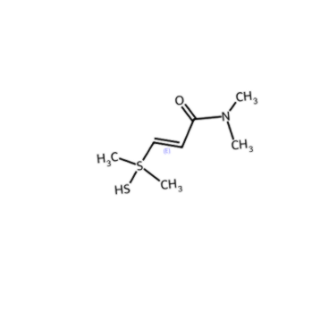 CN(C)C(=O)/C=C/S(C)(C)S